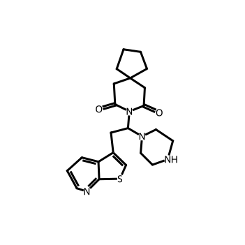 O=C1CC2(CCCC2)CC(=O)N1C(Cc1csc2ncccc12)N1CCNCC1